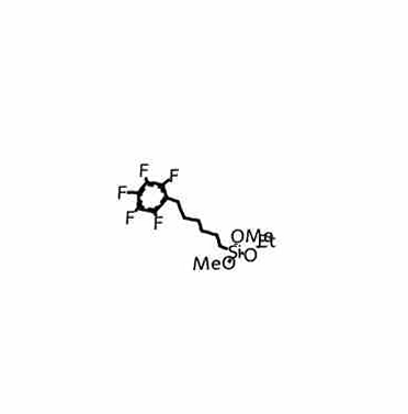 CCO[Si](CCCCCCc1c(F)c(F)c(F)c(F)c1F)(OC)OC